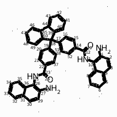 Nc1ccc2ccccc2c1NC(=O)c1ccc(C2(c3ccc(C(=O)Nc4c(N)ccc5ccccc45)cc3)c3ccccc3-c3ccccc32)cc1